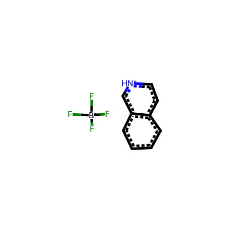 F[B-](F)(F)F.c1ccc2c[nH+]ccc2c1